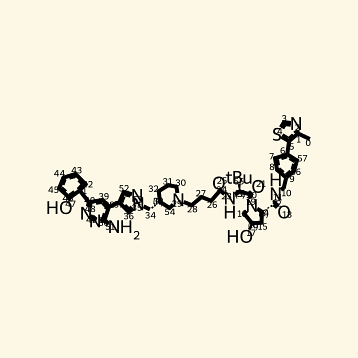 Cc1ncsc1-c1ccc(CNC(=O)[C@@H]2C[C@@H](O)CN2C(=O)[C@@H](NC(=O)CCCN2CCC[C@@H](Cn3cc(-c4cc(-c5ccccc5O)nnc4N)cn3)C2)C(C)(C)C)cc1